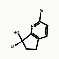 CC[C@]1(O)CCc2ccc(Br)nc21